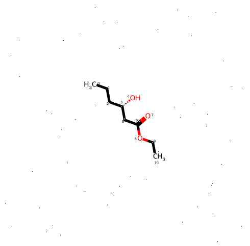 CCC[C@H](O)CC(=O)OCC